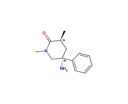 C[C@H]1C[C@@](N)(c2ccccc2)CN(C)C1=O